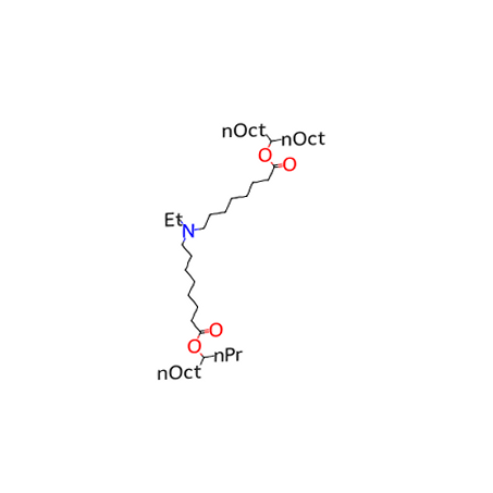 CCCCCCCCC(CCC)OC(=O)CCCCCCCN(CC)CCCCCCCC(=O)OC(CCCCCCCC)CCCCCCCC